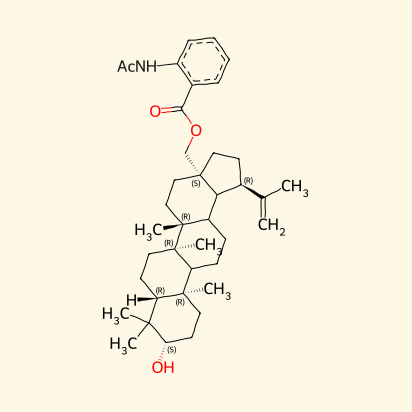 C=C(C)[C@@H]1CC[C@]2(COC(=O)c3ccccc3NC(C)=O)CC[C@]3(C)C(CCC4[C@@]5(C)CC[C@H](O)C(C)(C)[C@@H]5CC[C@]43C)C12